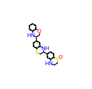 [O-][S+]1CCNc2cc(C3CSc4ccc(C5COc6ccccc6N5)cc4N3)ccc21